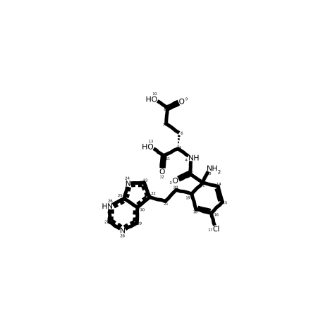 NC1(C(=O)N[C@@H](CCC(=O)O)C(=O)O)C=CC(Cl)=CC1CCc1cnc2[nH]cncc1-2